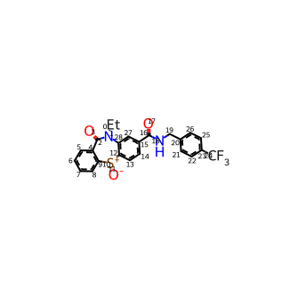 CCN1C(=O)c2ccccc2[S+]([O-])c2ccc(C(=O)NCc3ccc(C(F)(F)F)cc3)cc21